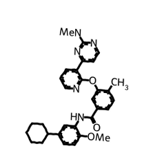 CNc1nccc(-c2cccnc2Oc2cc(C(=O)Nc3cc(C4CCCCC4)ccc3OC)ccc2C)n1